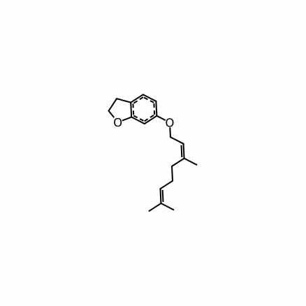 CC(C)=CCCC(C)=CCOc1ccc2c(c1)OCC2